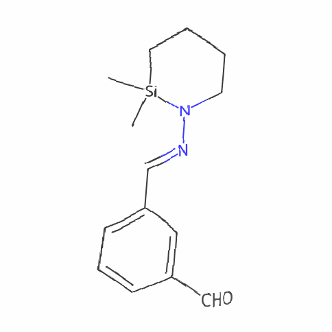 C[Si]1(C)CCCCN1N=Cc1cccc(C=O)c1